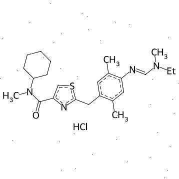 CCN(C)C=Nc1cc(C)c(Cc2nc(C(=O)N(C)C3CCCCC3)cs2)cc1C.Cl